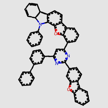 C1=CC2c3ccc4c(oc5c(-c6cc(-c7cccc(-c8ccccc8)c7)nc(-c7ccc8c(c7)oc7ccccc78)n6)cccc54)c3N(c3ccccc3)C2C=C1